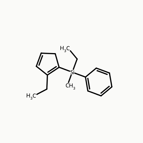 CCC1=C([Si](C)(CC)c2ccccc2)CC=C1